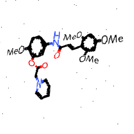 COc1cc(OC)c(/C=C/C(=O)Nc2ccc(OC)c(OC(=O)CN3C=CC=CC3)c2)c(OC)c1